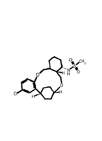 CS(=O)(=O)N[C@H]1CCCC2COc3ccc(Cl)cc3[C@H]3CC[C@H](CC3)OC[C@H]21